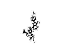 CCn1c(-c2cnc(C)nc2)nc2c(NC3C[C@H](c4nnc(C)o4)N(C(=O)C4CC4)C3)ncnc21